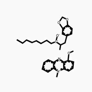 CCCCCCCC[S+]([O-])C(C)Cc1ccc2c(c1)OCO2.COc1cccc2c1nc1ccccc1[n+]2C